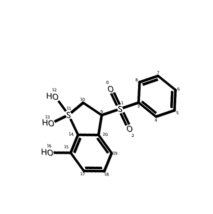 O=S(=O)(c1ccccc1)C1CS(O)(O)c2c(O)cccc21